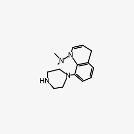 CN(C)N1C=CCc2cccc(N3CCNCC3)c21